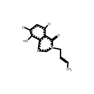 C/C=C/Cn1cnc2c(O)c(Cl)cc(Cl)c2c1=O